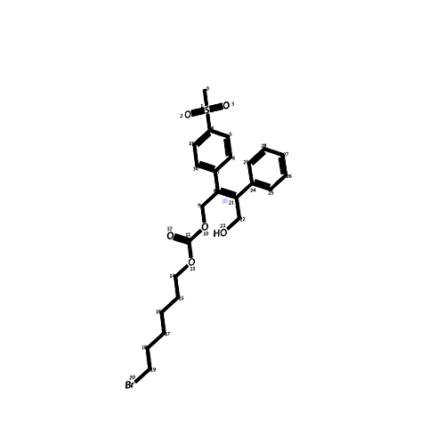 CS(=O)(=O)c1ccc(/C(COC(=O)OCCCCCCBr)=C(/CO)c2ccccc2)cc1